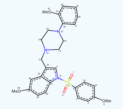 COc1ccc(S(=O)(=O)n2cc(CN3CCN(c4ccccc4OC)CC3)c3cc(OC)ccc32)cc1